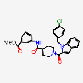 COC(=O)c1cccc(NC(=O)C2CCN(C(=O)c3cc4ccccc4n3Cc3ccc(Cl)cc3)CC2)c1